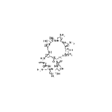 CCCCCCCC(=O)N[C@@H](CCN)C(=O)N[C@H](C(=O)NC(CO)C(=O)N[C@H]1CCNC(=O)[C@H]([C@@H](C)O)NC(=O)[C@H](CCN)NC(=O)[C@H](CCN)NC(=O)[C@H]([C@@H](C)O)NC(=O)CNC(=O)[C@H](CCN)NC1=O)[C@@H](C)O